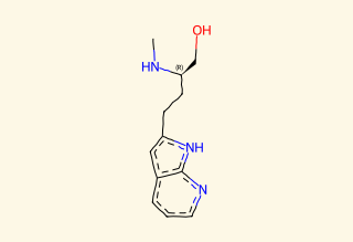 CN[C@@H](CO)CCc1cc2cccnc2[nH]1